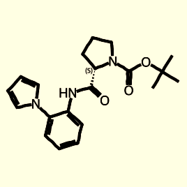 CC(C)(C)OC(=O)N1CCC[C@H]1C(=O)Nc1ccccc1-n1cccc1